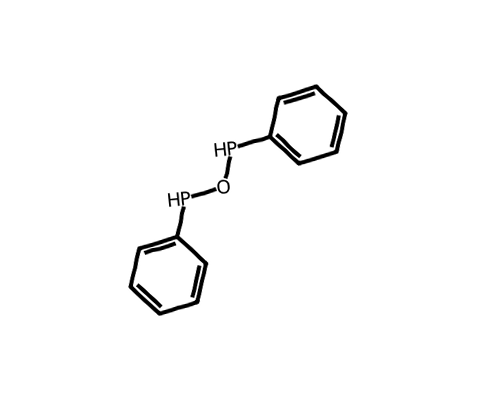 c1ccc(POPc2ccccc2)cc1